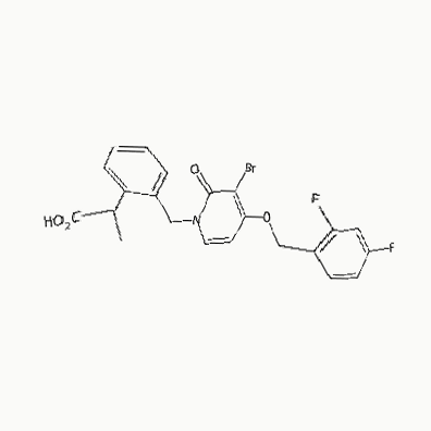 CC(C(=O)O)c1ccccc1Cn1ccc(OCc2ccc(F)cc2F)c(Br)c1=O